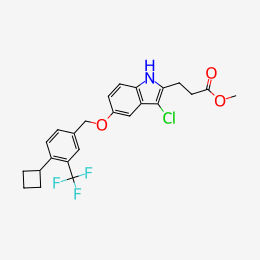 COC(=O)CCc1[nH]c2ccc(OCc3ccc(C4CCC4)c(C(F)(F)F)c3)cc2c1Cl